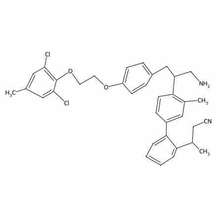 Cc1cc(Cl)c(OCCOc2ccc(CC(CN)c3ccc(-c4ccccc4C(C)CC#N)cc3C)cc2)c(Cl)c1